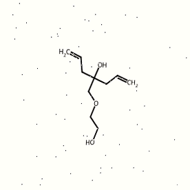 C=CCC(O)(CC=C)COCCO